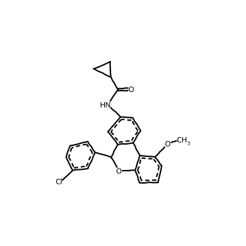 COc1cccc2c1-c1ccc(NC(=O)C3CC3)cc1C(c1cccc(Cl)c1)O2